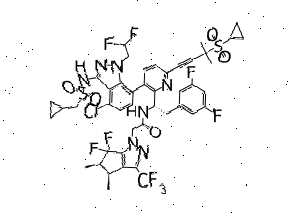 C[C@@H]1c2c(C(F)(F)F)nn(CC(=O)N[C@@H](Cc3cc(F)cc(F)c3)c3nc(C#CC(C)(C)S(=O)(=O)C4CC4)ccc3-c3ccc(Cl)c4c(NS(=O)(=O)CC5CC5)nn(CC(F)F)c34)c2C(F)(F)[C@@H]1C